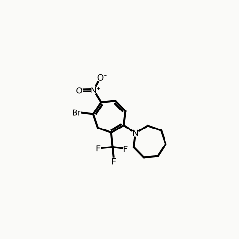 O=[N+]([O-])C1=C(Br)CC(C(F)(F)F)=C(N2CCCCCC2)C=C1